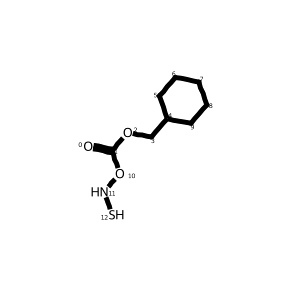 O=C(OCC1CCCCC1)ONS